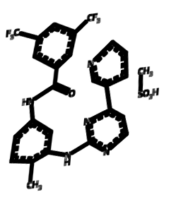 CS(=O)(=O)O.Cc1ccc(NC(=O)c2cc(C(F)(F)F)cc(C(F)(F)F)c2)cc1Nc1nccc(-c2cccnc2)n1